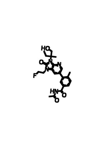 CCC(C)(CO)n1c(=O)n(CCF)c2cc(-c3cc(C(=O)NC(C)=O)ccc3C)cnc21